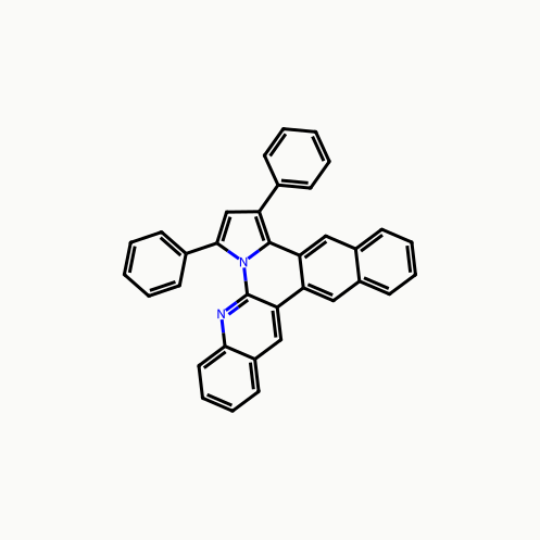 c1ccc(-c2cc(-c3ccccc3)n3c4nc5ccccc5cc4c4cc5ccccc5cc4c23)cc1